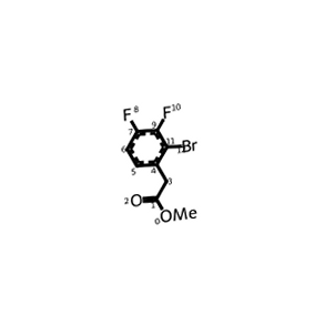 COC(=O)Cc1ccc(F)c(F)c1Br